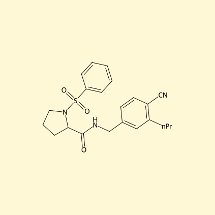 CCCc1cc(CNC(=O)C2CCCN2S(=O)(=O)c2ccccc2)ccc1C#N